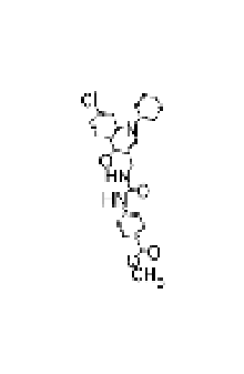 COC(=O)c1ccc(NC(=O)NCc2cn(-c3ccccc3)c3cc(Cl)ccc3c2=O)cc1